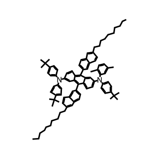 CCCCCCCCCCc1ccc2cc(-c3c4ccc(N(c5ccc(C(C)(C)C)cc5)c5cc(C)ccc5C)cc4c(-c4ccc5cc(CCCCCCCCCC)ccc5c4)c4ccc(N(c5ccc(C(C)(C)C)cc5)c5ccc(C(C)(C)C)cc5)cc34)ccc2c1